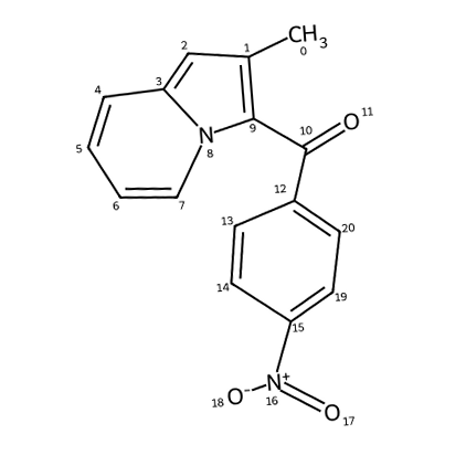 Cc1cc2ccccn2c1C(=O)c1ccc([N+](=O)[O-])cc1